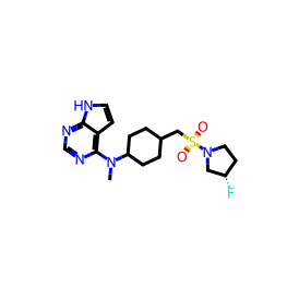 CN(c1ncnc2[nH]ccc12)C1CCC(CS(=O)(=O)N2CC[C@H](F)C2)CC1